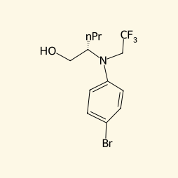 CCC[C@@H](CO)N(CC(F)(F)F)c1ccc(Br)cc1